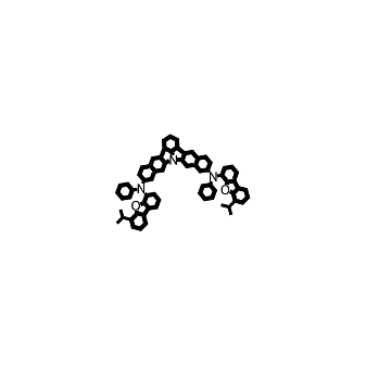 CC(C)c1cccc2c1oc1c(N(c3ccccc3)c3ccc4cc5c6cccc7c8cc9ccc(N(c%10ccccc%10)c%10cccc%11c%10oc%10c(C(C)C)cccc%10%11)cc9cc8n(c5cc4c3)c67)cccc12